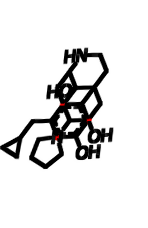 Oc1cc(CC2CC2)c2c(c1)C13CCNC(C2)C1(O)CC(N1CCCC1)C(O)C3